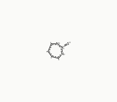 S=[n+]1nccccn1